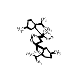 CC1CCC(C(C)C)C(C(C)(CCC(C)(OO)C2CC(C)CCC2C(C)C)OO)C1